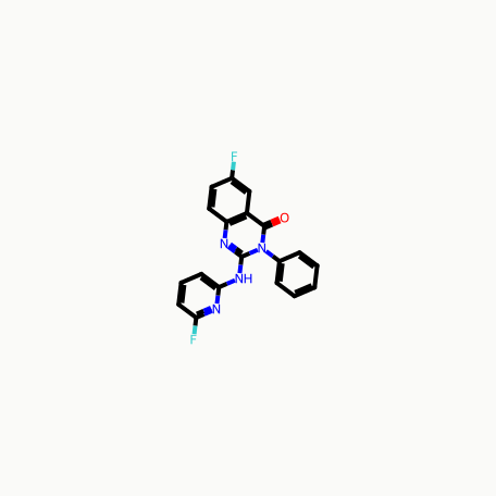 O=c1c2cc(F)ccc2nc(Nc2cccc(F)n2)n1-c1ccccc1